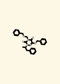 CC(Cc1ccccc1)n1nc(OCc2ccccc2)c(=O)n(COCc2ccccc2)c1=O